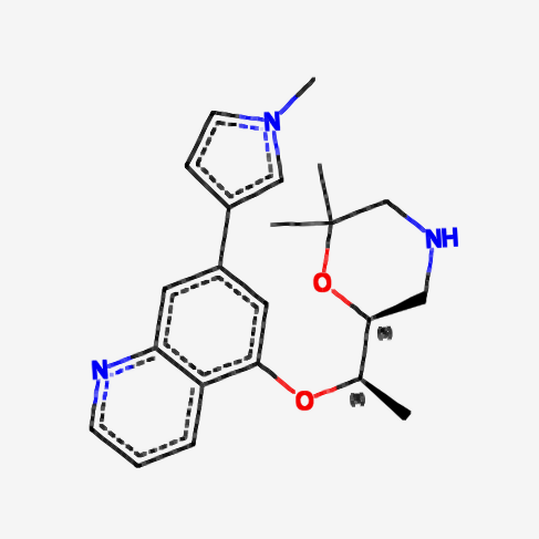 C[C@@H](Oc1cc(-c2ccn(C)c2)cc2ncccc12)[C@@H]1CNCC(C)(C)O1